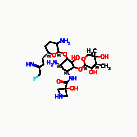 C[C@@H]1C(O)[C@@H](OC2C(O)C(O[C@H]3O[C@H](CCC(=N)CF)CCC3N)[C@@H](N)C[C@H]2NC(=O)C2(O)CNC2)OCC1(C)O